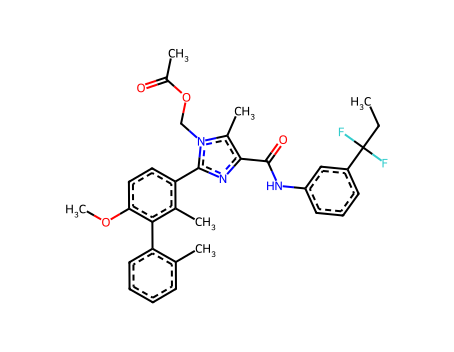 CCC(F)(F)c1cccc(NC(=O)c2nc(-c3ccc(OC)c(-c4ccccc4C)c3C)n(COC(C)=O)c2C)c1